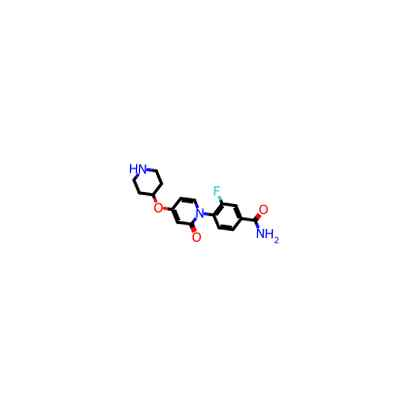 NC(=O)c1ccc(-n2ccc(OC3CCNCC3)cc2=O)c(F)c1